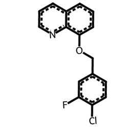 Fc1cc(COc2cccc3cccnc23)ccc1Cl